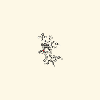 COc1c(C)cc2c(c1O)C1[C@@H]3C4SCC(NC(=O)OCC(Cl)(Cl)Cl)C(=O)OCC(c5c6c(c(C)c(OC(C)=O)c54)OCO6)N3[C@@H](C#N)C(C2)N1C